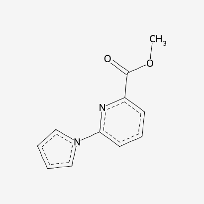 COC(=O)c1cccc(-n2cccc2)n1